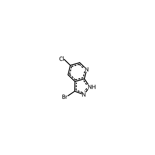 Clc1cnc2[nH]nc(Br)c2c1